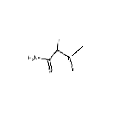 C=C(N)C(C)N(C)C